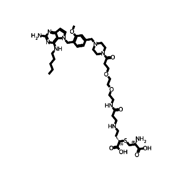 CCCCCNc1nc(N)nc2ccn(Cc3ccc(CN4CCN(C(=O)CCOCCOCCNC(=O)CCNCC[C@H](SC[C@H](N)C(=O)O)C(=O)O)CC4)cc3OC)c12